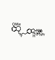 CCCS(=O)(=O)NC1Cc2ccc(CCN(C)C[C@@H]3CCCc4c(OC)cccc43)cc2N1